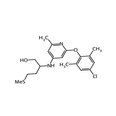 CSCCC(CO)Nc1cc(C)nc(Oc2c(C)cc(Cl)cc2C)c1